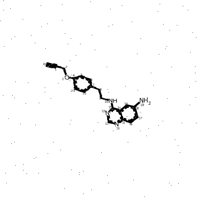 C#CCOc1ccc(CCNc2ncnc3ccc(N)cc23)cc1